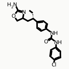 CC[C@@H](CC1COC(N)=N1)c1ccc(NC(=O)Nc2ccc(Cl)cc2)cc1